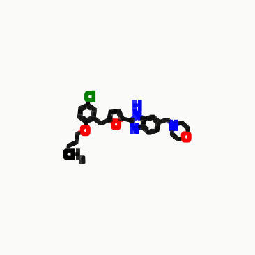 CCCCOc1ccc(Cl)cc1Cc1ccc(-c2nc3ccc(CN4CCOCC4)cc3[nH]2)o1